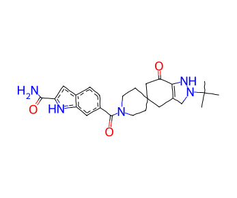 CC(C)(C)N1CC2=C(N1)C(=O)CC1(CCN(C(=O)c3ccc4cc(C(N)=O)[nH]c4c3)CC1)C2